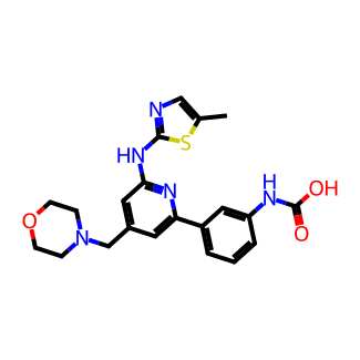 Cc1cnc(Nc2cc(CN3CCOCC3)cc(-c3cccc(NC(=O)O)c3)n2)s1